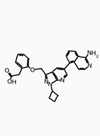 Nc1nccc2c(-c3cnc4c(c3)c(COc3ccccc3CC(=O)O)nn4C3CCC3)cccc12